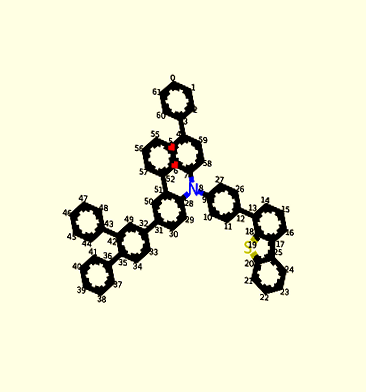 c1ccc(-c2ccc(N(c3ccc(-c4cccc5c4sc4ccccc45)cc3)c3ccc(-c4ccc(-c5ccccc5)c(-c5ccccc5)c4)cc3-c3ccccc3)cc2)cc1